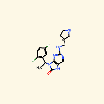 CC(c1cc(Cl)ccc1Cl)n1c(=O)[nH]c2cnc(NC[C@@H]3CCNC3)nc21